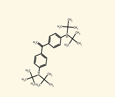 C=C(c1ccc([SiH](C(C)(C)C)C(C)(C)C)cc1)c1ccc([SiH](C(C)(C)C)C(C)(C)C)cc1